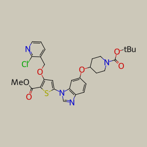 COC(=O)c1sc(-n2cnc3ccc(OC4CCN(C(=O)OC(C)(C)C)CC4)cc32)cc1OCc1cccnc1Cl